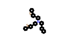 c1cc(-c2ccc3ccccc3c2)cc(N(c2ccc(-c3ccc4c(c3)sc3ccccc34)cc2)c2cccc(-c3ccc4sc5ccccc5c4c3)c2)c1